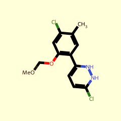 COCOc1cc(Cl)c(C)cc1C1=CC=C(Cl)NN1